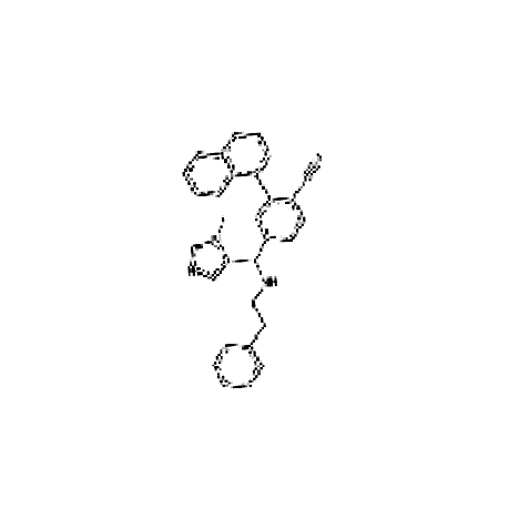 Cn1cncc1C(NCCc1ccccc1)c1ccc(C#N)c(-c2cccc3ccccc23)c1